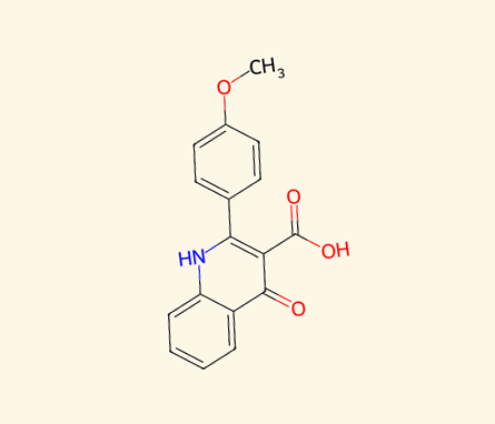 COc1ccc(-c2[nH]c3ccccc3c(=O)c2C(=O)O)cc1